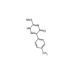 CSc1nc(=O)c(-c2ccc(C)cc2)n[nH]1